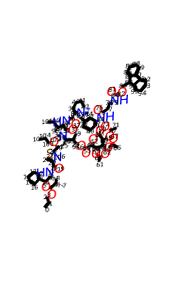 C=CCOC(=O)[C@@H](C)C[C@H](Cc1ccccc1)NC(=O)c1csc([C@@H](C[C@H](C(C)C)N(C)C(=O)[C@@H](NC(=O)[C@H]2CCCC[N+]2(C)Cc2ccc(O[C@@H]3O[C@H](C(=O)OC)[C@@H](OC(C)=O)[C@H](OC(C)=O)[C@H]3OC(C)=O)c(NC(=O)CCNC(=O)OCC3c4ccccc4-c4ccccc43)c2)[C@@H](C)CC)OCCC)n1